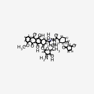 COc1cccc2c1C(=O)c1c(O)c3c(c(O)c1C2=O)C[C@@](O)(/C(CO)=N/NC(=O)C1CCC(CN2C(=O)C=CC2=O)CC1)C[C@@H]3O[C@H]1C[C@@H](N)[C@H](O)C(C)O1